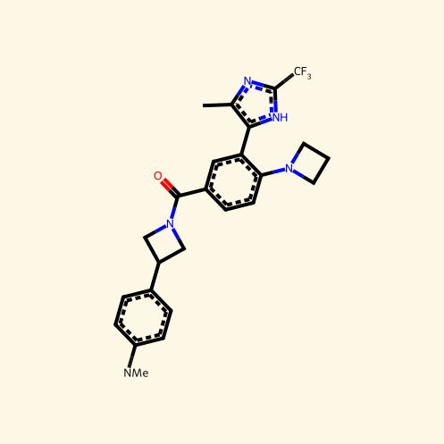 CNc1ccc(C2CN(C(=O)c3ccc(N4CCC4)c(-c4[nH]c(C(F)(F)F)nc4C)c3)C2)cc1